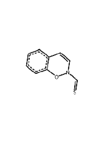 S=CN1C=Cc2ccccc2O1